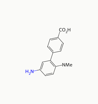 CNc1ccc(N)cc1-c1ccc(C(=O)O)cc1